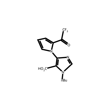 CCCCn1cnc(-n2cccc2C(=O)C(F)(F)F)c1C(=O)O